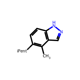 CCCC(C)c1ccc2[nH]ncc2c1C